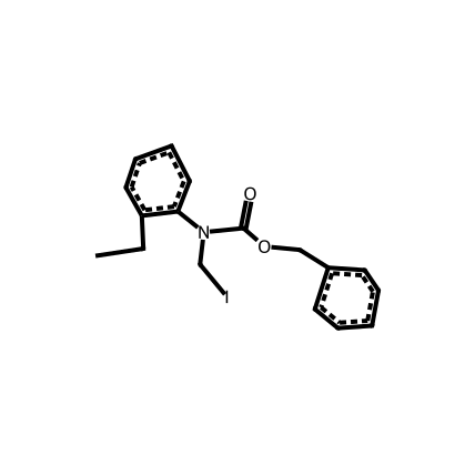 CCc1ccccc1N(CI)C(=O)OCc1ccccc1